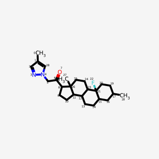 Cc1cnn(CC(=O)C2CCC3C4CCC5CC(C)CCC5(F)C4CCC23C)c1